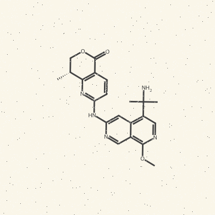 COc1ncc(C(C)(C)N)c2cc(Nc3ccc4c(n3)[C@H](C)COC4=O)ncc12